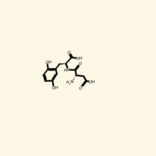 N[C@@H](CC(=O)O)C(=O)N[C@@H](Cc1cc(O)ccc1O)C(=O)O